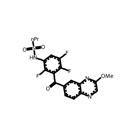 CCCS(=O)(=O)Nc1cc(F)c(F)c(C(=O)c2ccc3ncc(OC)nc3c2)c1F